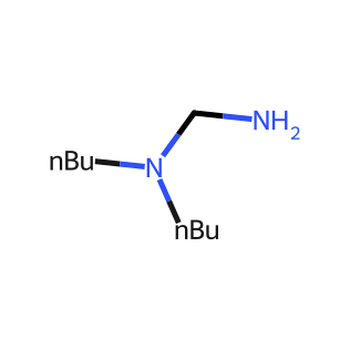 CCCCN(CN)CCCC